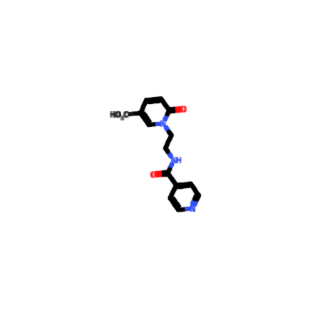 O=C(O)c1ccc(=O)n(CCNC(=O)c2ccncc2)c1